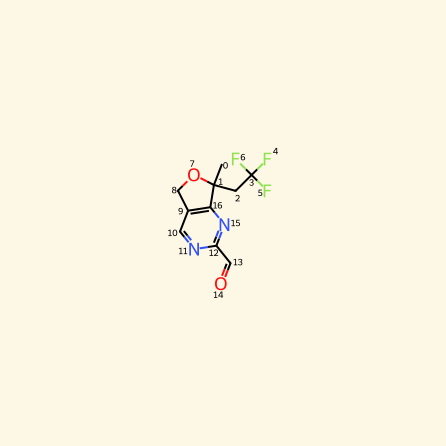 CC1(CC(F)(F)F)OCc2cnc(C=O)nc21